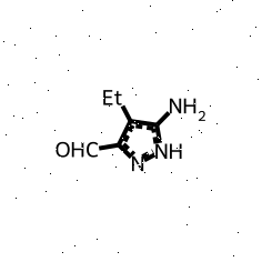 CCc1c(C=O)n[nH]c1N